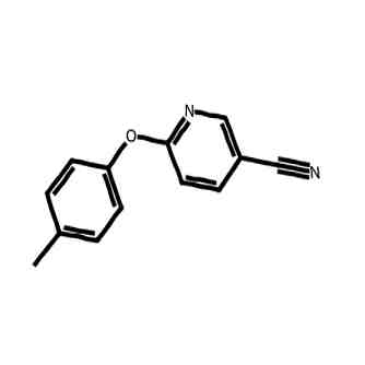 Cc1ccc(Oc2ccc(C#N)cn2)cc1